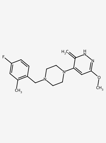 C=C1NN=C(OC)C=C1N1CCN(Cc2ccc(F)cc2C)CC1